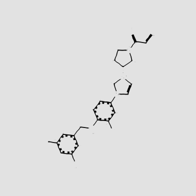 C=CC(=O)N1CC[C@@H](N2C=CN(c3ccc(OCc4cc(F)cc(F)c4)c(Cl)c3)C2)C1